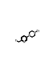 CCN1CCN(c2ccc(CF)nc2)CC1